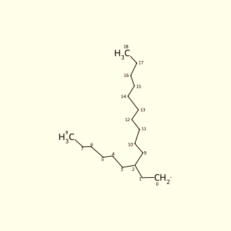 [CH2]CC(CCCCCC)CCCCCCCCCC